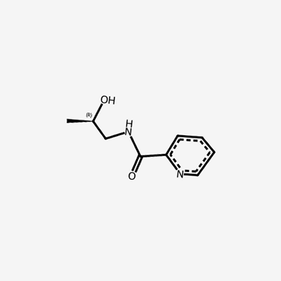 C[C@@H](O)CNC(=O)c1ccccn1